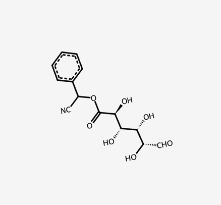 N#CC(OC(=O)[C@@H](O)[C@@H](O)[C@H](O)[C@@H](O)C=O)c1ccccc1